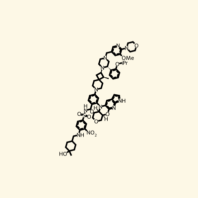 COc1cc(CN2CCN([C@@H]3CC4(CCN(c5ccc(C(=O)NS(=O)(=O)c6ccc(NCC7CCC(C)(O)CC7)c([N+](=O)[O-])c6)c(N6c7cc8cc[nH]c8nc7O[C@H]7COCC[C@@H]76)c5)CC4)[C@@H]3C)[C@@H](c3ccccc3OC(C)C)C2)cnc1N1CCOCC1